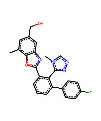 Cc1cc(CO)cc2nc(-c3cccc(-c4ccc(F)cc4)c3-c3nncn3C)oc12